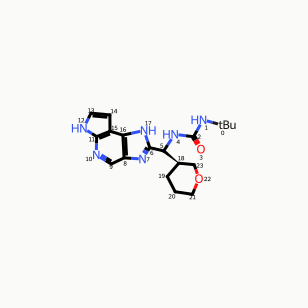 CC(C)(C)NC(=O)NC(c1nc2cnc3[nH]ccc3c2[nH]1)[C@@H]1CCCOC1